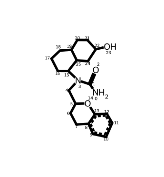 NC(=O)N(CC1CCc2ccccc2O1)C1CCCC2CCC(O)CC21